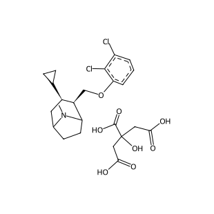 CN1C2CCC1[C@H](COc1cccc(Cl)c1Cl)[C@H](C1CC1)C2.O=C(O)CC(O)(CC(=O)O)C(=O)O